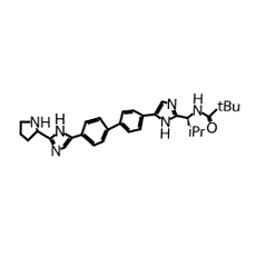 CC(C)[C@H](NC(=O)C(C)(C)C)c1ncc(-c2ccc(-c3ccc(-c4cnc(C5CCCN5)[nH]4)cc3)cc2)[nH]1